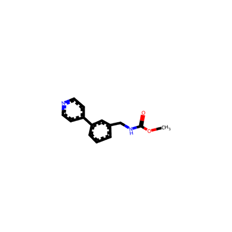 COC(=O)NCc1cccc(-c2ccncc2)c1